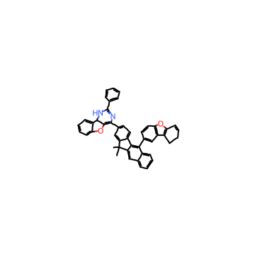 CC1(C)c2cc(C3=C4Oc5ccccc5C4NC(c4ccccc4)=N3)ccc2-c2c1cc1ccccc1c2-c1ccc2oc3c(c2c1)CCC=C3